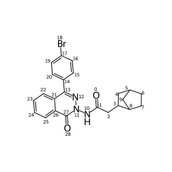 O=C(CC1CC2CCC1C2)Nn1nc(-c2ccc(Br)cc2)c2ccccc2c1=O